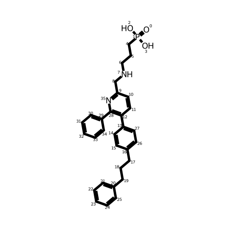 O=P(O)(O)CCCNCc1ccc(-c2ccc(CCCc3ccccc3)cc2)c(-c2ccccc2)n1